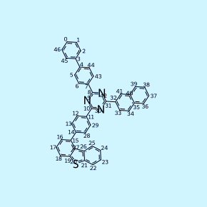 c1ccc(-c2ccc(-c3nc(-c4ccc(-c5cccc6sc7ccccc7c56)cc4)nc(-c4ccc5ccccc5c4)n3)cc2)cc1